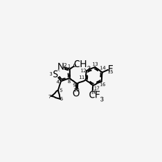 Cc1nsc(C2CC2)c1C(=O)c1ccc(F)cc1C(F)(F)F